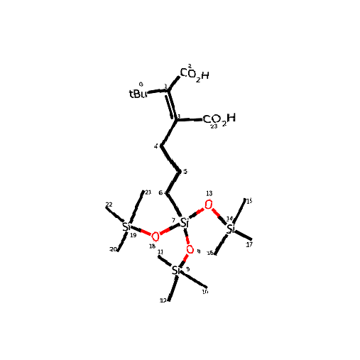 CC(C)(C)C(C(=O)O)=C(CCC[Si](O[Si](C)(C)C)(O[Si](C)(C)C)O[Si](C)(C)C)C(=O)O